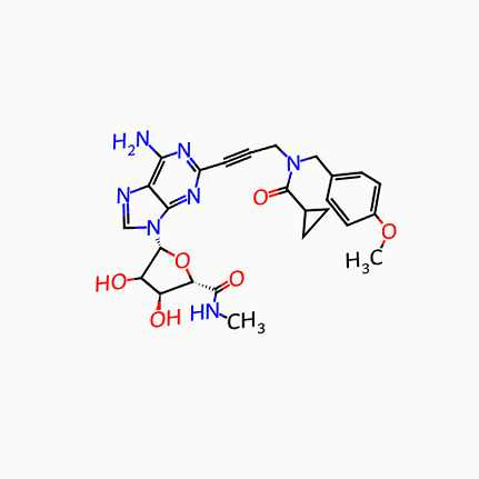 CNC(=O)[C@H]1O[C@@H](n2cnc3c(N)nc(C#CCN(Cc4ccc(OC)cc4)C(=O)C4CC4)nc32)C(O)[C@@H]1O